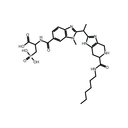 CCCCCCNC(=O)C1Cc2[nH]c(C(C)c3nc4ccc(C(=O)NC(CP(=O)(O)O)C(=O)O)cc4n3C)nc2CN1